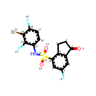 O=C1CCc2c1cc(F)cc2S(=O)(=O)Nc1ccc(F)c(Br)c1F